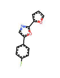 Fc1ccc(-c2cnc(-c3ccco3)o2)cc1